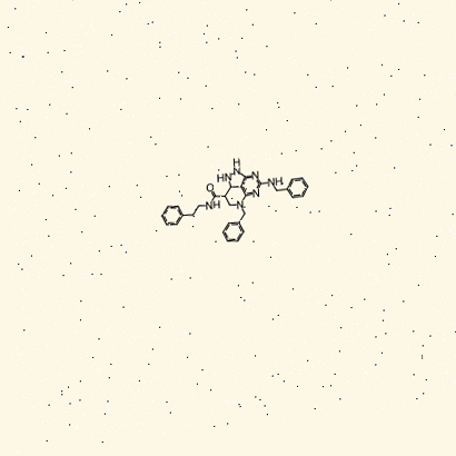 O=C(NCCc1ccccc1)C1CN(Cc2ccccc2)c2nc(NCc3ccccc3)nc3c2C1NN3